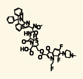 CO/N=C(\C(=O)N[C@@H]1C(=O)N2C(C(=O)O)=C(COC(=O)c3cn(CCF)c4c(F)c(N5CCN(C)CC5)c(F)cc4c3=O)CS[C@H]12)c1csc(NC(c2ccccc2)(c2ccccc2)c2ccccc2)n1